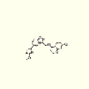 COc1nc(-c2ccc3nnc(COc4ccnc5cc(O)ccc45)n3c2)cs1